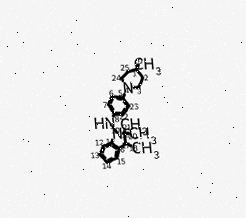 CC1CCN(c2ccc(NN3c4ccccc4C(C)C3(C)C)cc2)CC1